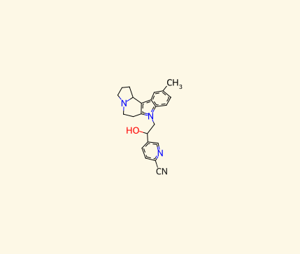 Cc1ccc2c(c1)c1c(n2CC(O)c2ccc(C#N)nc2)CCN2CCCC12